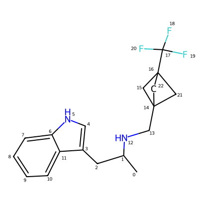 CC(Cc1c[nH]c2ccccc12)NCC12CC(C(F)(F)F)(C1)C2